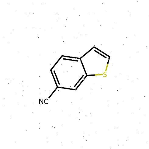 N#Cc1ccc2[c]csc2c1